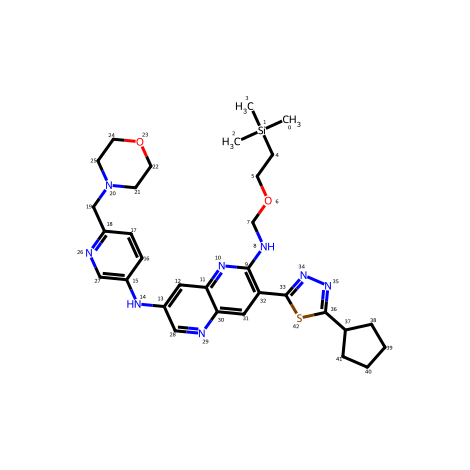 C[Si](C)(C)CCOCNc1nc2cc(Nc3ccc(CN4CCOCC4)nc3)cnc2cc1-c1nnc(C2CCCC2)s1